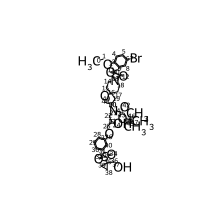 CCOc1ccc(Br)cc1S(=O)(=O)N1CCC2(CC1)C[C@@H](N(C[C@H](O)COc1cccc(S(=O)(=O)C3(CO)CC3)c1)C(=O)OC(C)(C)C)CO2